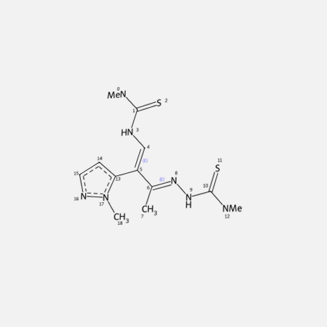 CNC(=S)N/C=C(/C(C)=N/NC(=S)NC)c1ccnn1C